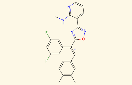 CNc1ncccc1-c1noc(/C(=C/c2ccc(C)c(C)c2)c2cc(F)cc(F)c2)n1